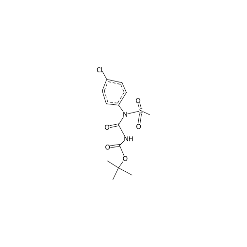 CC(C)(C)OC(=O)NC(=O)N(c1ccc(Cl)cc1)S(C)(=O)=O